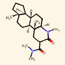 CN(C)C(=O)C1C[C@]2(C)[C@H]3CC[C@]4(C)CCC[C@H]4[C@@H]3CC[C@H]2N(C)C1=O